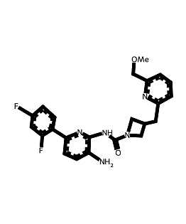 COCc1cccc(CC2CN(C(=O)Nc3nc(-c4ccc(F)cc4F)ccc3N)C2)n1